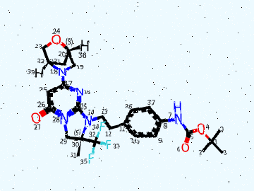 CC(C)(C)OC(=O)Nc1ccc(CCN2c3nc(N4C[C@@H]5C[C@H]4CO5)cc(=O)n3C[C@@]2(C)C(F)(F)F)cc1